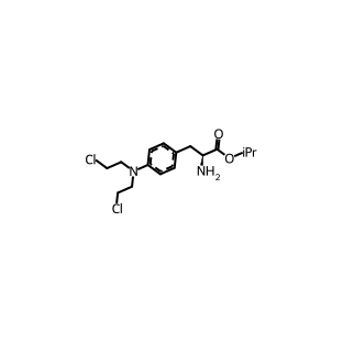 CC(C)OC(=O)[C@@H](N)Cc1ccc(N(CCCl)CCCl)cc1